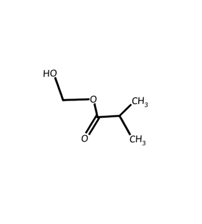 CC(C)C(=O)OCO